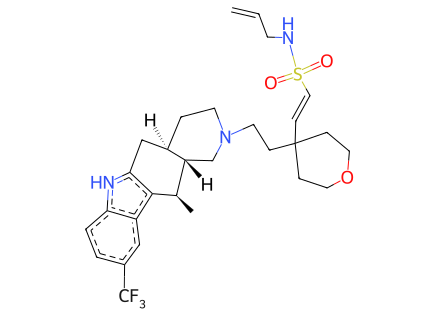 C=CCNS(=O)(=O)/C=C/C1(CCN2CC[C@@H]3Cc4[nH]c5ccc(C(F)(F)F)cc5c4[C@H](C)[C@H]3C2)CCOCC1